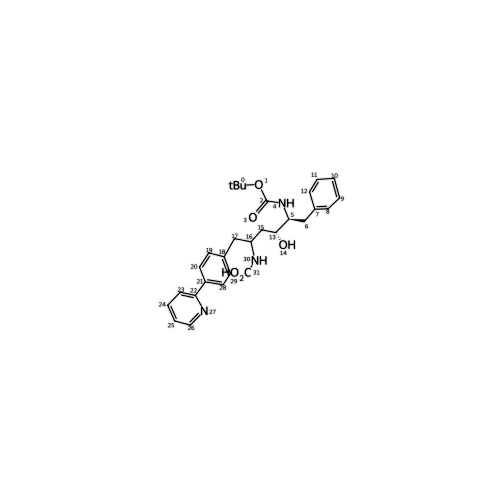 CC(C)(C)OC(=O)N[C@@H](Cc1ccccc1)[C@H](O)CC(Cc1ccc(-c2ccccn2)cc1)NC(=O)O